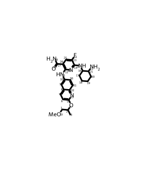 COCC(C)Oc1ccc2cc(Nc3nc(NC4CCCCC4N)c(F)cc3C(N)=O)ccc2n1